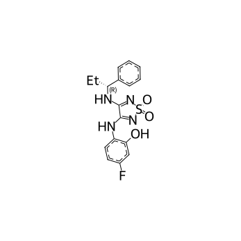 CC[C@@H](NC1=NS(=O)(=O)N=C1Nc1ccc(F)cc1O)c1ccccc1